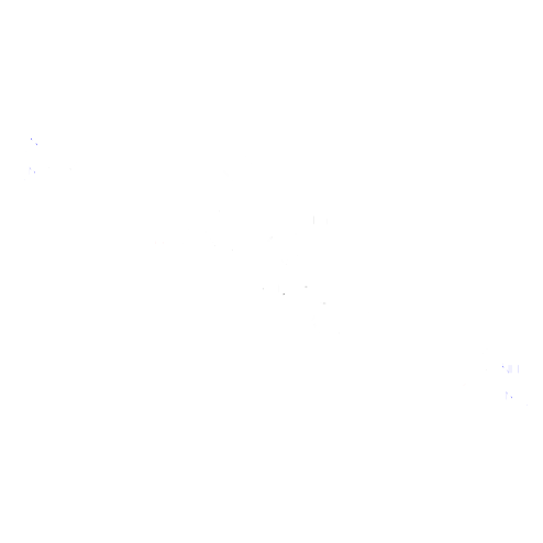 CC(CC1CCC(c2ccccc2)=Cc2cc(OCCCCCOC(=O)C(C)(N)CN)ccc21)c1ccc(C(C)(C)C)cc1C1=Cc2cc(OCCCCCOC(=O)C(C)(N)CN)ccc2CCC1